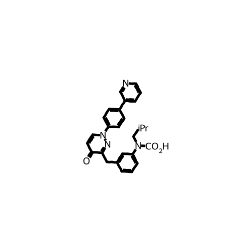 CC(C)CN(C(=O)O)c1cccc(Cc2nn(-c3ccc(-c4cccnc4)cc3)ccc2=O)c1